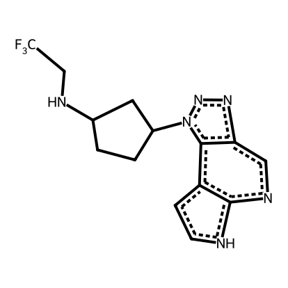 FC(F)(F)CNC1CCC(n2nnc3cnc4[nH]ccc4c32)C1